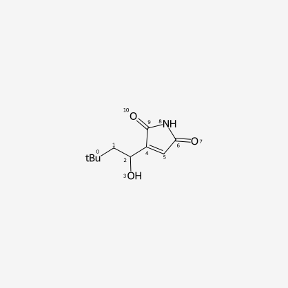 CC(C)(C)CC(O)C1=CC(=O)NC1=O